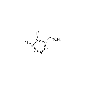 CCc1cccc(I)c1I